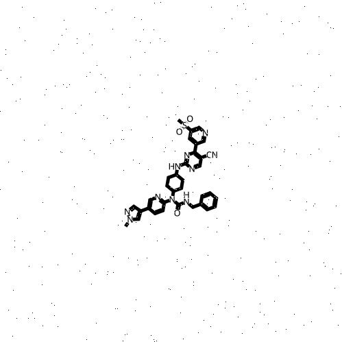 Cn1cc(-c2ccc(N(C(=O)NCc3ccccc3)C3CCC(Nc4ncc(C#N)c(-c5cncc(S(C)(=O)=O)c5)n4)CC3)nc2)cn1